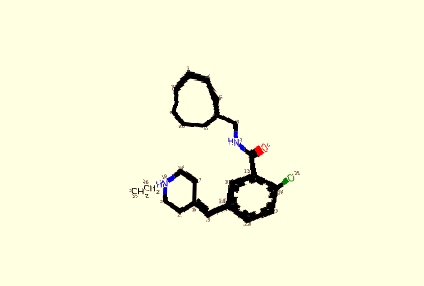 O=C(NC[C]1CCCCCCC1)c1cc(C=C2CCNCC2)ccc1Cl.[CH2].[CH2]